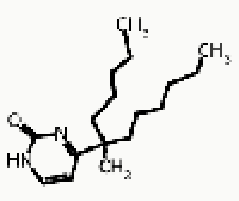 CCCCCCC(C)(CCCCC)c1cc[nH]c(=O)n1